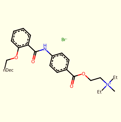 CCCCCCCCCCCOc1ccccc1C(=O)Nc1ccc(C(=O)OCC[N+](C)(CC)CC)cc1.[Br-]